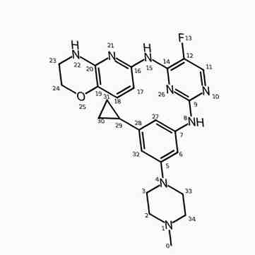 CN1CCN(c2cc(Nc3ncc(F)c(Nc4ccc5c(n4)NCCO5)n3)cc(C3CC3)c2)CC1